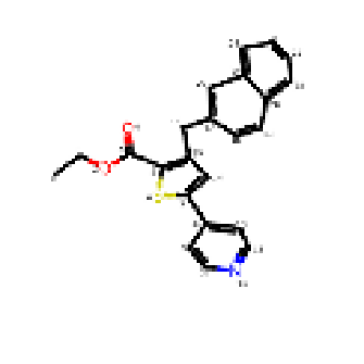 CCOC(=O)c1sc(-c2ccncc2)cc1Cc1ccc2ccccc2c1